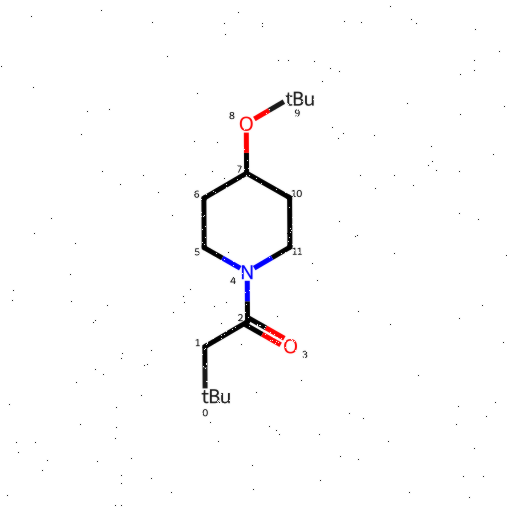 CC(C)(C)CC(=O)N1CCC(OC(C)(C)C)CC1